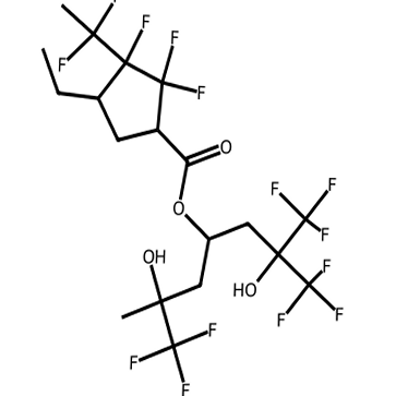 CCC1CC(C(=O)OC(CC(C)(O)C(F)(F)F)CC(O)(C(F)(F)F)C(F)(F)F)C(F)(F)C1(F)C(C)(F)F